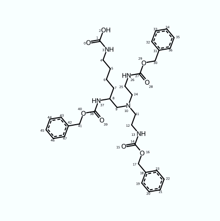 O=C(O)NCCCCC(CN(CCNC(=O)OCc1ccccc1)CCNC(=O)OCc1ccccc1)NC(=O)OCc1ccccc1